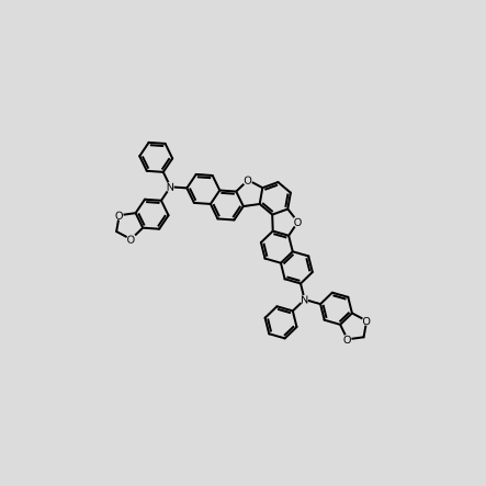 c1ccc(N(c2ccc3c(c2)OCO3)c2ccc3c(ccc4c3oc3ccc5oc6c7ccc(N(c8ccccc8)c8ccc9c(c8)OCO9)cc7ccc6c5c34)c2)cc1